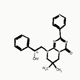 CC1(C)CN(C[C@H](O)c2ccccc2)c2nc(-c3ccncc3)nc(=O)n2C1